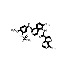 COc1ccc(Nc2nccc3c(NC(=O)c4csc5c(N)ncnc45)c(C)ccc23)cc1NS(C)(=O)=O